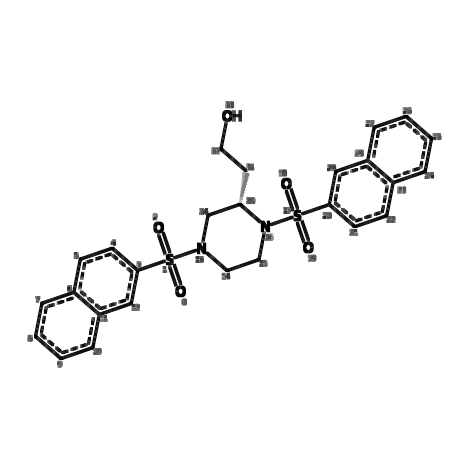 O=S(=O)(c1ccc2ccccc2c1)N1CCN(S(=O)(=O)c2ccc3ccccc3c2)[C@@H](CCO)C1